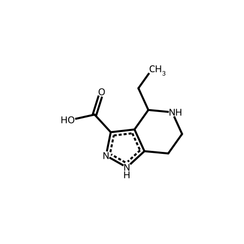 CCC1NCCc2[nH]nc(C(=O)O)c21